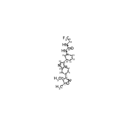 Cc1onc(-c2ccn3c(-c4cccc(NC(=O)NCC(F)(F)F)c4)cnc3c2)c1C